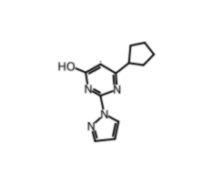 Oc1[c]c(C2CCCC2)nc(-n2cccn2)n1